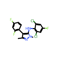 Cc1nn(C)c(Nc2c(Cl)cc(F)cc2Cl)c1-c1ccc(F)cc1F